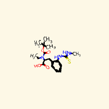 CCN(C(=O)OC(C)(C)C)C(Cc1ccccc1NC(=S)NC)C(=O)O